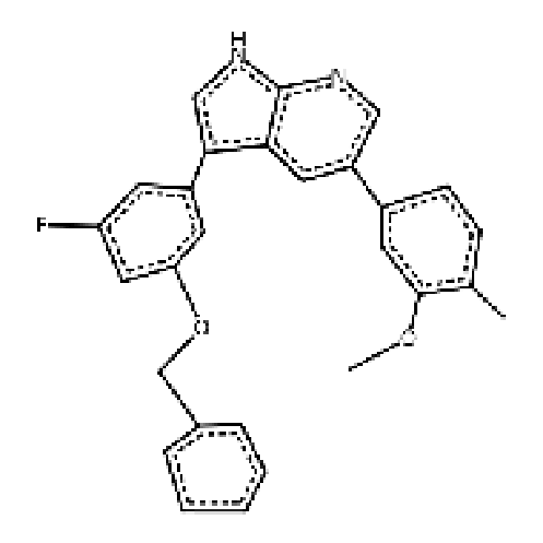 COc1cc(-c2cnc3[nH]cc(-c4cc(F)cc(OCc5ccccc5)c4)c3c2)ccc1C